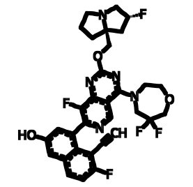 C#Cc1c(F)ccc2cc(O)cc(-c3ncc4c(N5CCOCC(F)(F)C5)nc(OC[C@@]56CCCN5C[C@H](F)C6)nc4c3F)c12